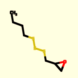 CCCCSSSCC1CO1